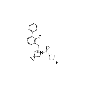 O=C([C@H]1C[C@@H](F)C1)N1CC2(CC2)C[C@@H]1Cc1cccc(-c2ccccc2)c1F